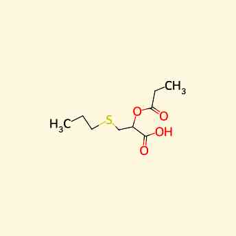 CCCSCC(OC(=O)CC)C(=O)O